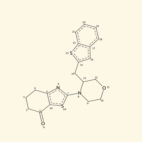 O=C1CCCc2nc(N3CCOCC3Cc3cc4ccccc4s3)sc21